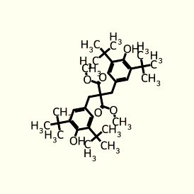 COC(=O)C(Cc1cc(C(C)(C)C)c(O)c(C(C)(C)C)c1)(Cc1cc(C(C)(C)C)c(O)c(C(C)(C)C)c1)C(=O)OC